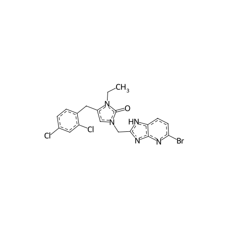 CCn1c(Cc2ccc(Cl)cc2Cl)cn(Cc2nc3nc(Br)ccc3[nH]2)c1=O